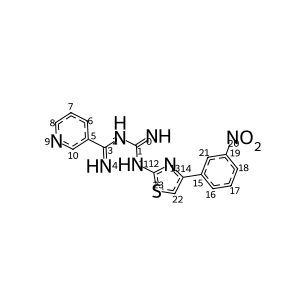 N=C(NC(=N)c1cccnc1)Nc1nc(-c2cccc([N+](=O)[O-])c2)cs1